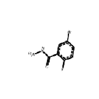 NNC(=O)c1cc(Br)ccc1F